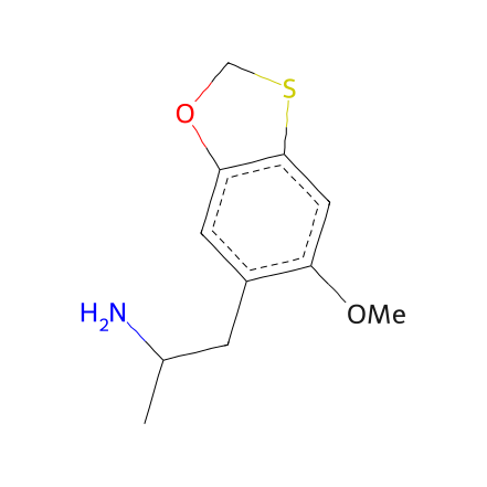 COc1cc2c(cc1CC(C)N)OCS2